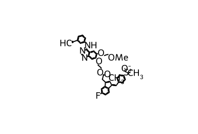 C#Cc1cccc(Nc2ncnc3cc(OCCOC(=O)CC4=C(C)/C(=C\c5ccc([S+](C)[O-])cc5)c5ccc(F)cc54)c(OCCOC)cc23)c1